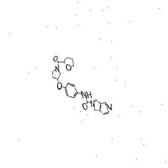 O=C(Nc1ccc(OC2CCN(C(=O)C3CCCO3)C2)cc1)N1Cc2ccncc2C1